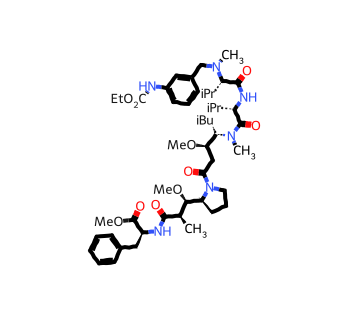 CCOC(=O)Nc1cccc(CN(C)[C@H](C(=O)N[C@H](C(=O)N(C)[C@@H]([C@@H](C)CC)[C@@H](CC(=O)N2CCC[C@H]2[C@H](OC)[C@@H](C)C(=O)N[C@@H](Cc2ccccc2)C(=O)OC)OC)C(C)C)C(C)C)c1